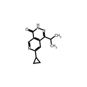 CC(C)c1n[nH]c(=O)c2cnc(C3CC3)cc12